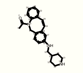 CC(=O)N1Cc2ccc(NCC3CCNCC3)cc2C=Cc2ccccc21